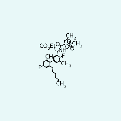 C=CCCCCc1cc(F)cc(C)c1-c1cc(C)c(F)c([C@H](CC(=O)OCC)NC(=O)[C@@H](CC=C)OS(C)(=O)=O)c1